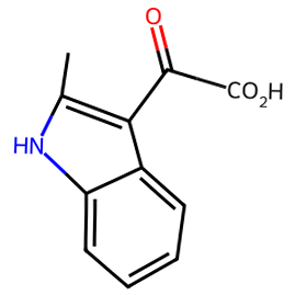 Cc1[nH]c2ccccc2c1C(=O)C(=O)O